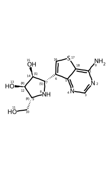 Nc1ncnc2c([C@@H]3N[C@H](CO)[C@@H](O)[C@H]3O)csc12